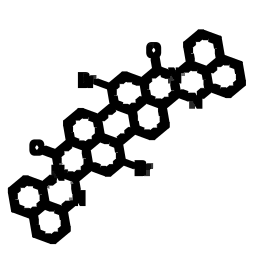 O=c1c2cc(Br)c3c4ccc5c(=O)n6c7cccc8cccc(nc6c6cc(Br)c(c9ccc(c2c93)c2nc3cccc9cccc(c93)n12)c4c56)c87